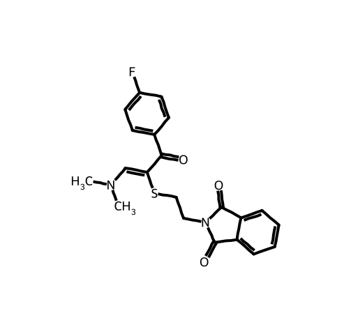 CN(C)/C=C(\SCCN1C(=O)c2ccccc2C1=O)C(=O)c1ccc(F)cc1